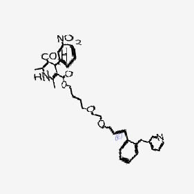 CC1=C(C(=O)O)C(c2cccc([N+](=O)[O-])c2)C(C(=O)OCCCCOCCOC/C=C/c2ccccc2Cc2cccnc2)=C(C)N1